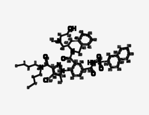 CCCCN(CCCC)C(=O)c1nn(-c2ccc(C(=O)NS(=O)(=O)c3ccc4ccccc4c3)cc2C(=O)N2Cc3ccccc3CC2CN(C)CCO)c(C)c1Cl